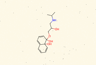 CC(C)NCC(O)COC1(O)C=CC=C2C=CC=CC21O